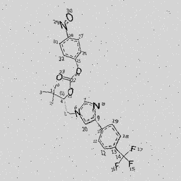 CC(C)(C)[C@@H](Cn1cnc(-c2ccc(C(F)(F)F)cc2)c1)OC(=O)Oc1ccc(N=O)cc1